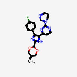 C=C1COC(c2nc(-c3ccc(F)cc3)c(-c3ccnc(N4C=CC=NC4)n3)[nH]2)OC1